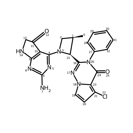 C[C@@H]1CN(c2nc(N)nc3c2C(=O)CN3)[C@@H]1c1nn2ccc(Cl)c2c(=O)n1-c1ccccc1